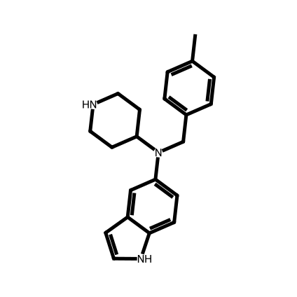 Cc1ccc(CN(c2ccc3[nH]ccc3c2)C2CCNCC2)cc1